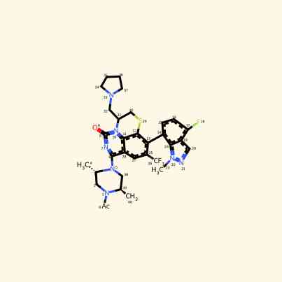 CC(=O)N1C[C@H](C)N(c2nc(=O)n3c4c(c(-c5ccc(F)c6cnn(C)c56)c(C(F)(F)F)cc24)SCC3CN2CCCC2)C[C@H]1C